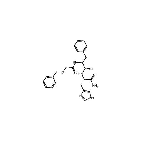 NC(=O)[C@H](Cc1c[nH]cn1)NC(=O)[C@H](Cc1ccccc1)NC(=O)COCc1ccccc1